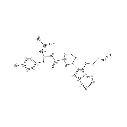 COCCCn1c(C2CCCN(C(=O)C[C@@H](Cc3ccc(Br)cc3)NC(=O)O)C2)cc2ccccc21